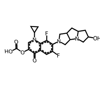 O=C(O)Oc1cn(C2CC2)c2c(F)c(N3CC4CC5CC(O)CN5C4C3)c(F)cc2c1=O